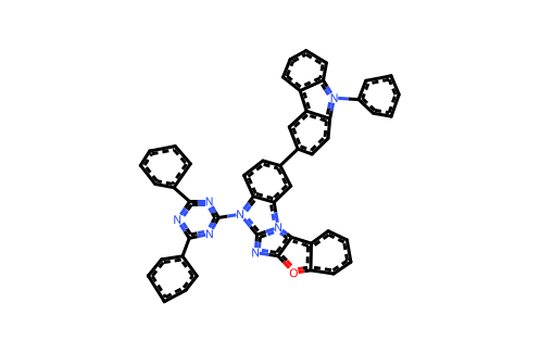 c1ccc(-c2nc(-c3ccccc3)nc(-n3c4ccc(-c5ccc6c(c5)c5ccccc5n6-c5ccccc5)cc4n4c5c(nc34)oc3ccccc35)n2)cc1